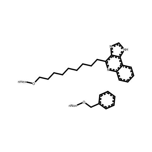 CCCCCCCCCOCc1ccccc1.CCCCCCOCCCCCCCCCc1nc2ccccc2c2[nH]cnc12